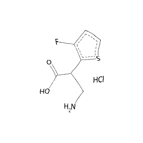 Cl.NCC(C(=O)O)c1sccc1F